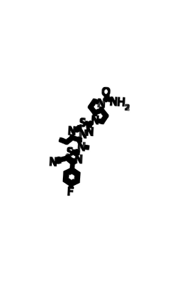 CCC1N=C2SC(N3CCC4C3CCN4C(N)=O)=NN2C1N(C)c1nc(-c2ccc(F)cc2)c(C#N)s1